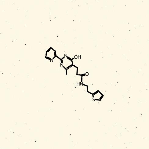 Cc1nc(-c2ccccn2)nc(O)c1CCC(=O)NCCc1cccs1